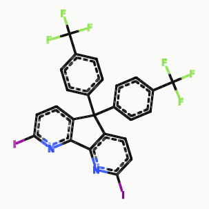 FC(F)(F)c1ccc(C2(c3ccc(C(F)(F)F)cc3)c3ccc(I)nc3-c3nc(I)ccc32)cc1